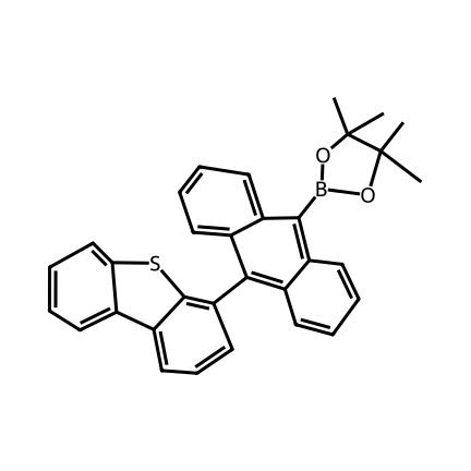 CC1(C)OB(c2c3ccccc3c(-c3cccc4c3sc3ccccc34)c3ccccc23)OC1(C)C